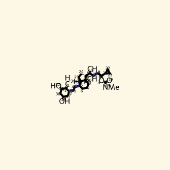 C=C1/C(=C\C=C2/CCC[C@]3(C)[C@@H]([C@H](C)/C=C/[C@H](OC(=O)NC)C4CC4)CC[C@@H]23)C[C@@H](O)C[C@@H]1O